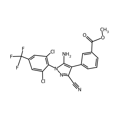 COC(=O)c1cccc(-c2c(C#N)nn(-c3c(Cl)cc(C(F)(F)F)cc3Cl)c2N)c1